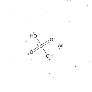 O=S(=O)(O)O.[Ac]